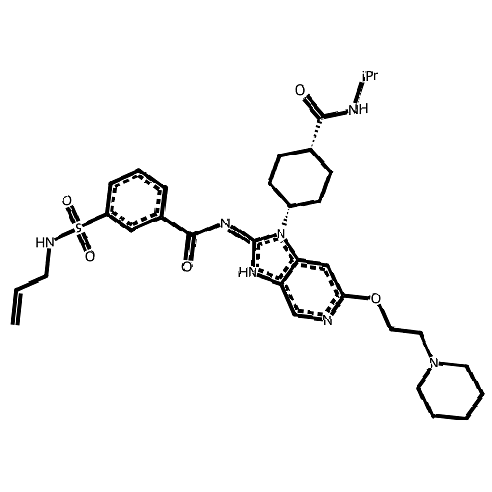 C=CCNS(=O)(=O)c1cccc(C(=O)/N=c2\[nH]c3cnc(OCCN4CCCCC4)cc3n2[C@H]2CC[C@@H](C(=O)NC(C)C)CC2)c1